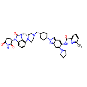 Cn1c(=O)n(C2CCC(=O)NC2=O)c2cccc(N3CCN(C[C@H]4CC[C@H](n5cc6cc(NC(=O)c7cccc(C(F)(F)F)n7)c(N7CCCC7)cc6n5)CC4)CC3)c21